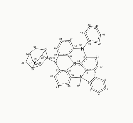 CC1(c2ccccc2)c2cccc3c2B2c4c(cccc4N(C4CC5CC6CC5CC4C6)c4cccc1c42)N3c1ccccc1